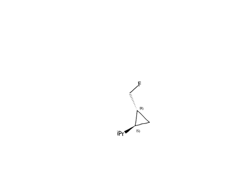 CC(C)[C@@H]1C[C@H]1CF